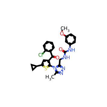 COc1cccc(NC(=O)NCc2nnc(C)n2-c2sc(C3CC3)cc2C(=O)c2ccccc2Cl)c1